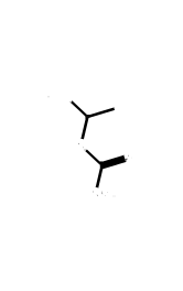 CNC(=N)NC(C)C(=O)O